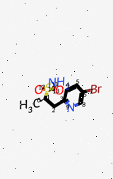 C[C@@H](Cc1ccc(Br)cn1)S(N)(=O)=O